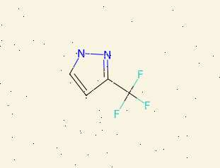 FC(F)(F)C1=N[N]C=[C]1